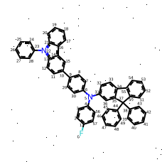 Fc1ccc(N(c2ccc(-c3ccc4c(c3)c3ccccc3n4-c3ccccc3)cc2)c2ccc3c(c2)C(c2ccccc2)(c2ccccc2)c2ccccc2-3)cc1